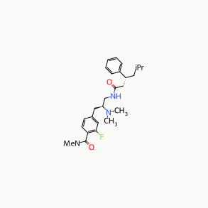 CNC(=O)c1ccc(C[C@@H](CNC(=O)C[C@@H](CC(C)C)c2ccccc2)N(C)C)cc1F